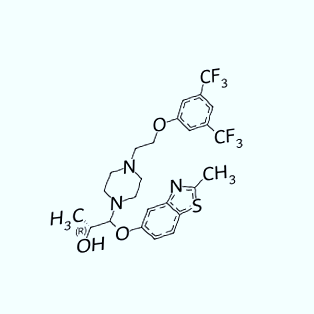 Cc1nc2cc(OC([C@@H](C)O)N3CCN(CCOc4cc(C(F)(F)F)cc(C(F)(F)F)c4)CC3)ccc2s1